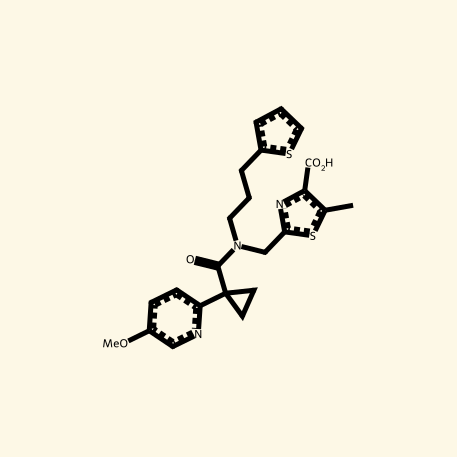 COc1ccc(C2(C(=O)N(CCCc3cccs3)Cc3nc(C(=O)O)c(C)s3)CC2)nc1